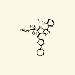 COc1ccccc1-c1nnc2/c(=C\c3ccc(N4CCCCC4)s3)c(C(C)(C)CN=[N+]=[N-])nn12